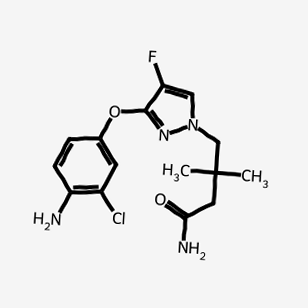 CC(C)(CC(N)=O)Cn1cc(F)c(Oc2ccc(N)c(Cl)c2)n1